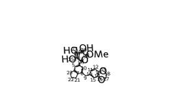 CO[C@H]1O[C@@H](c2cc3c(c(Cc4ccc5c(c4)OCCO5)c2)CCC3)[C@H](O)[C@@H](O)[C@@H]1O